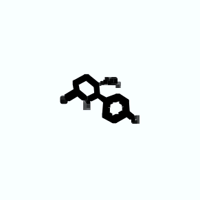 O=C1CC[C@H]([N+](=O)[O-])[C@@H](c2ccc(Cl)cc2)N1